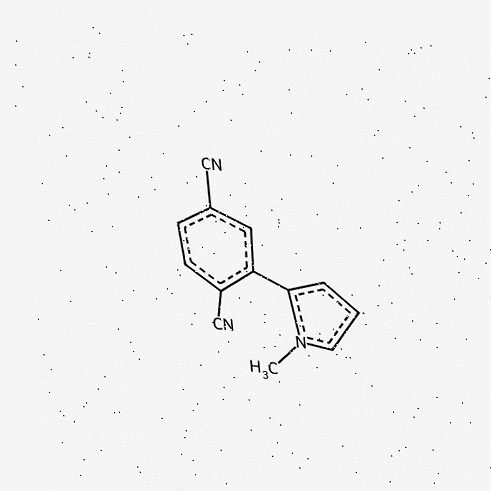 Cn1c[c]cc1-c1cc(C#N)ccc1C#N